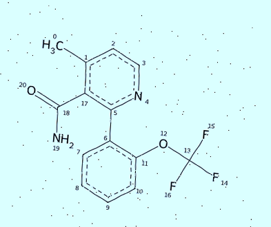 Cc1ccnc(-c2ccccc2OC(F)(F)F)c1C(N)=O